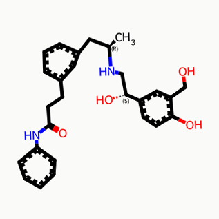 C[C@H](Cc1cccc(CCC(=O)Nc2ccccc2)c1)NC[C@@H](O)c1ccc(O)c(CO)c1